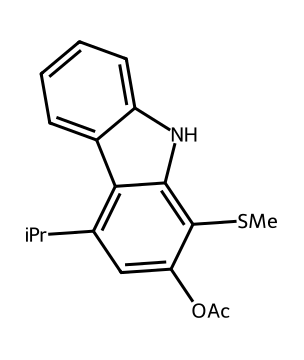 CSc1c(OC(C)=O)cc(C(C)C)c2c1[nH]c1ccccc12